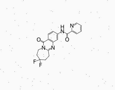 O=C(Nc1ccc2c(=O)n3c(nc2c1)CCC(F)(F)CC3)c1ccccn1